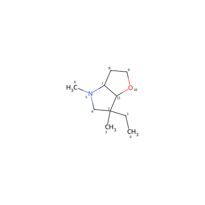 CCC1(C)CN(C)C2CCOC21